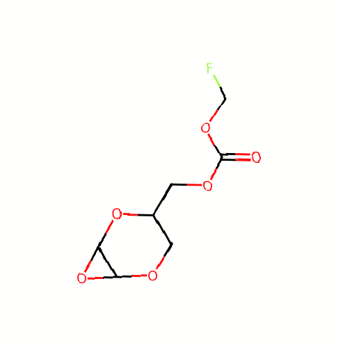 O=C(OCF)OCC1COC2OC2O1